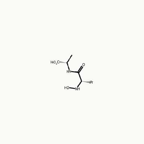 CC(C)[C@H](NO)C(=O)N[C@@H](C)C(=O)O